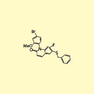 COc1cc(Br)ccc1-n1c(=O)ccc2cc(SCc3ccccc3)c(F)cc21